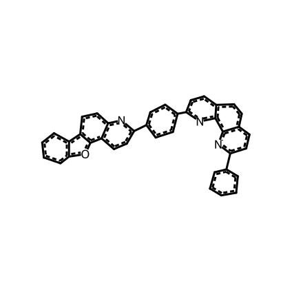 c1ccc(-c2ccc3ccc4ccc(-c5ccc(-c6ccc7c(ccc8c9ccccc9oc78)n6)cc5)nc4c3n2)cc1